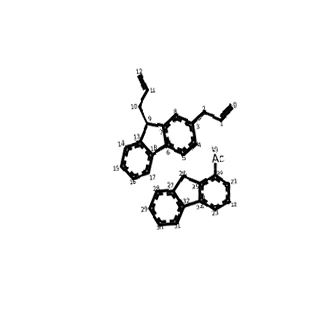 C=CCc1ccc2c(c1)C(CC=C)c1ccccc1-2.CC(=O)c1cccc2c1Cc1ccccc1-2